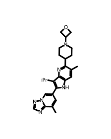 Cc1cc2[nH]c(-c3cc(C)c4ncnn4c3)c(C(C)C)c2nc1C1CCN(C2COC2)CC1